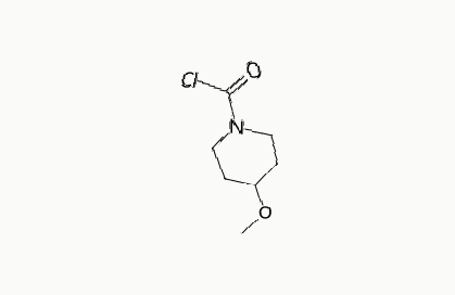 COC1CCN(C(=O)Cl)CC1